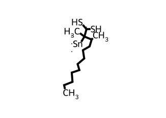 CCCCCCCCCC(C)[C](C)([Sn])[C](S)S